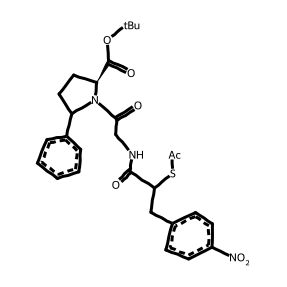 CC(=O)SC(Cc1ccc([N+](=O)[O-])cc1)C(=O)NCC(=O)N1C(c2ccccc2)CC[C@H]1C(=O)OC(C)(C)C